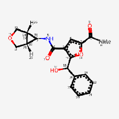 CNC(=O)c1cc(C(=O)N[C@H]2[C@@H]3COC[C@@H]32)c(C(O)c2ccccc2)o1